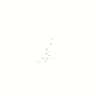 C[C@H]1CN([C@@H](Cc2ccccc2)C(=O)O)CCN1C(=O)[C@@H]1CN(C(C)(C)C)C[C@H]1c1ccc(F)cc1F